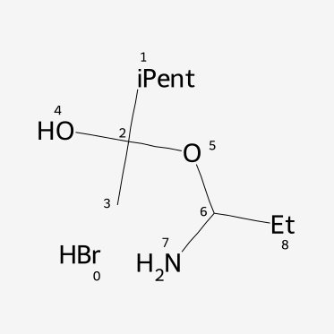 Br.CCCC(C)C(C)(O)OC(N)CC